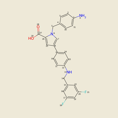 Nc1ccc(Cn2cc(-c3ccc(NCc4cc(F)cc(F)c4)cc3)cc2C(=O)O)cc1